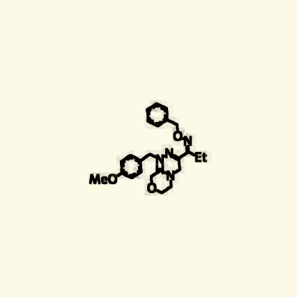 CCC(=NOCc1ccccc1)C(CN1CCOCC1)=NNCc1ccc(OC)cc1